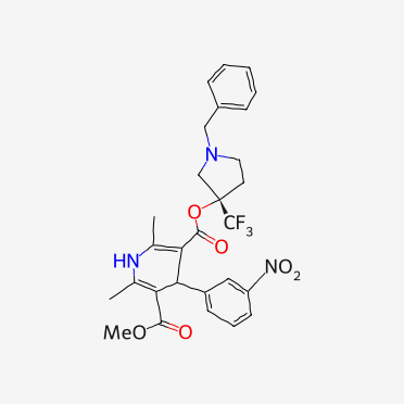 COC(=O)C1=C(C)NC(C)=C(C(=O)O[C@@]2(C(F)(F)F)CCN(Cc3ccccc3)C2)C1c1cccc([N+](=O)[O-])c1